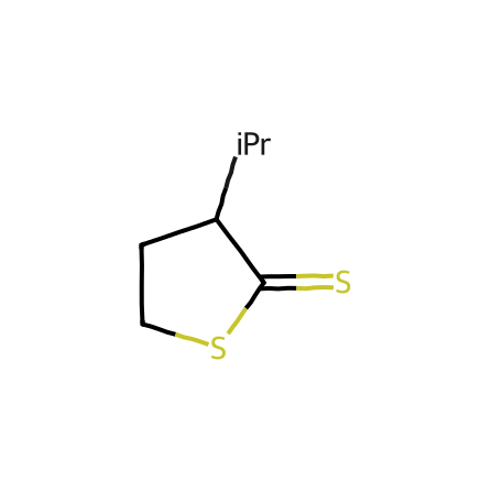 CC(C)C1CCSC1=S